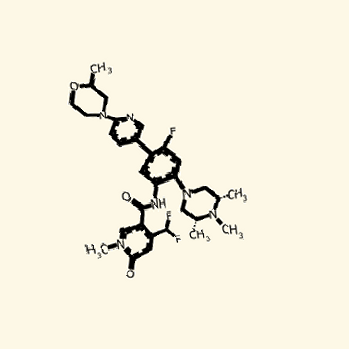 CC1CN(c2ccc(-c3cc(NC(=O)c4cn(C)c(=O)cc4C(F)F)c(N4C[C@@H](C)N(C)[C@@H](C)C4)cc3F)cn2)CCO1